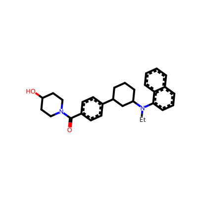 CCN(c1cccc2ccccc12)C1CCCC(c2ccc(C(=O)N3CCC(O)CC3)cc2)C1